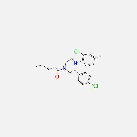 CCCCC(=O)N1CCN(c2ccc(C)cc2Cl)[C@H](c2ccc(Cl)cc2)C1